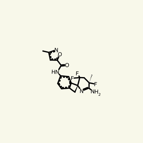 Cc1cc(C(=O)Nc2ccc3c(c2)[C@@]2(C3)N=C(N)[C@](C)(F)CC2(F)F)on1